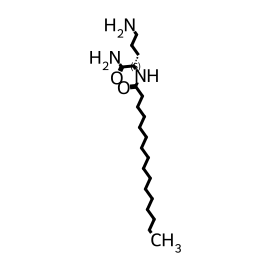 CCCCCCCCCCCCCCCC(=O)N[C@@H](CCCN)C(N)=O